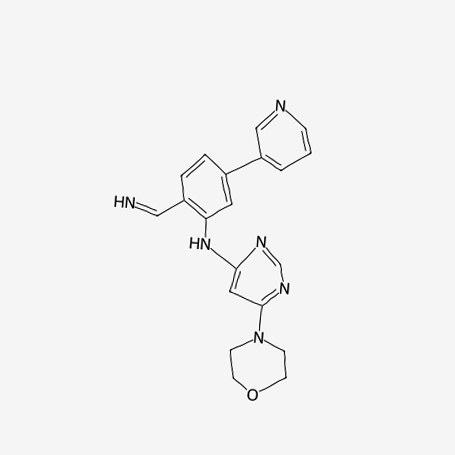 N=Cc1ccc(-c2cccnc2)cc1Nc1cc(N2CCOCC2)ncn1